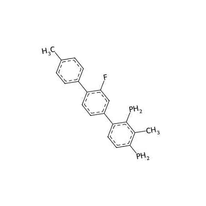 Cc1ccc(-c2ccc(-c3ccc(P)c(C)c3P)cc2F)cc1